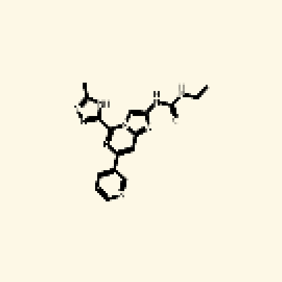 CCNC(=O)Nc1cn2c(-c3nnc(C)[nH]3)nc(-c3cccnc3)cc2n1